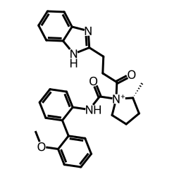 COc1ccccc1-c1ccccc1NC(=O)[N+]1(C(=O)CCc2nc3ccccc3[nH]2)CCC[C@H]1C